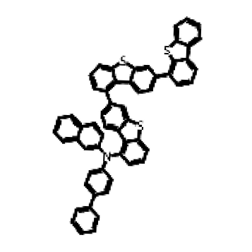 c1ccc(-c2ccc(N(c3ccc4ccccc4c3)c3cccc4sc5cc(-c6cccc7sc8cc(-c9cccc%10c9sc9ccccc9%10)ccc8c67)ccc5c34)cc2)cc1